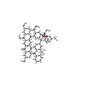 CSc1cc2c3c(c1)N(SC)c1cc4c(cc1B3c1ccccc1O2)B1c2cc3c(cc2N(SC)c2cc(SC)cc(c21)N4SC)Nc1cc(SC)cc2c1B3c1cccc3c1N2c1ccccc1C3(C)C